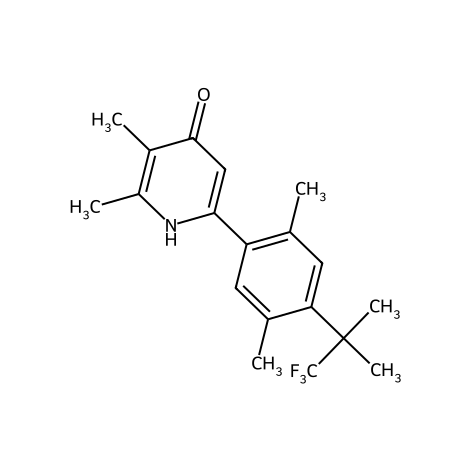 Cc1cc(C(C)(C)C(F)(F)F)c(C)cc1-c1cc(=O)c(C)c(C)[nH]1